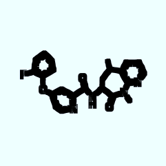 CC1CC(NC(=O)c2cc(Oc3ccccc3F)ccn2)C(=O)N(C)c2ncccc21